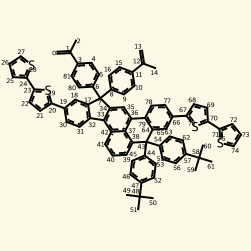 C=C(C)c1ccc(C2(c3ccc(C(=C)C)cc3)c3cc(-c4ccc(-c5cccs5)s4)ccc3-c3c2cc2c4c(cccc34)C(c3ccc(C(C)(C)C)cc3)(c3ccc(C(C)(C)C)cc3)c3cc(-c4ccc(-c5cccs5)s4)ccc3-2)cc1